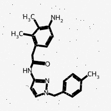 Cc1ccc(Cn2ccc(NC(=O)Cc3ccc(N)c(C)c3C)n2)cc1